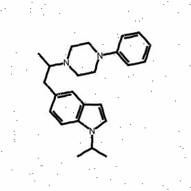 CC(Cc1ccc2c(ccn2C(C)C)c1)N1CCN(c2ccccc2)CC1